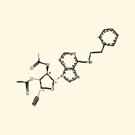 C#C[C@H]1O[C@@H](n2cnc3c(NCCc4ccccc4)ncnc32)[C@H](OC(C)=O)[C@H]1OC(C)=O